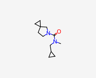 CN(CC1CC1)C(=O)N1CCC2(CC2)C1